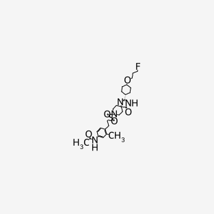 CC(=O)Nc1ccc(CCS(=O)(=O)N2CCC3(CC2)N=C([C@H]2CC[C@@H](OCCCF)CC2)NC3=O)c(C)c1